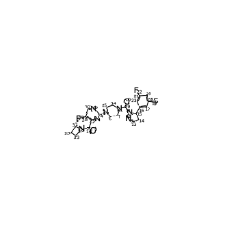 O=C(c1nc(N2CCN(C(=O)N3N=CCC3c3cc(F)cc(F)c3)CC2)ncc1F)N1CCC1